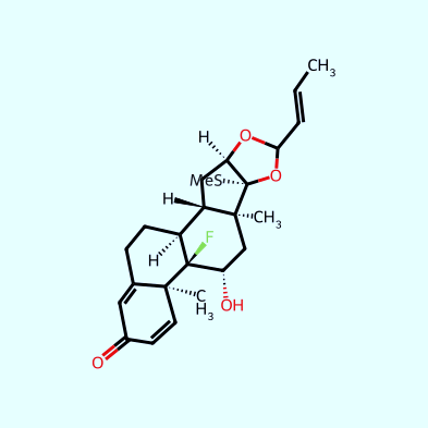 C/C=C/C1O[C@@H]2C[C@H]3[C@@H]4CCC5=CC(=O)C=C[C@]5(C)[C@@]4(F)[C@@H](O)C[C@]3(C)[C@]2(SC)O1